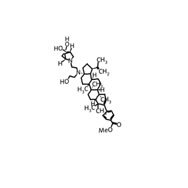 C=C(C)[C@@H]1CC[C@]2(N(CCO)CCN3C[C@@H]4C[C@H]3CS4(O)O)CC[C@]3(C)[C@H](CC[C@@H]4[C@@]5(C)CC=C(c6ccc(C(=O)OC)cc6)C(C)(C)[C@@H]5CC[C@]43C)C12